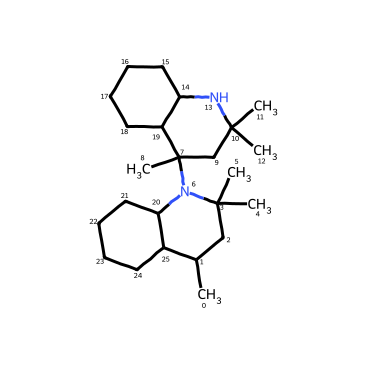 CC1CC(C)(C)N(C2(C)CC(C)(C)NC3CCCCC32)C2CCCCC12